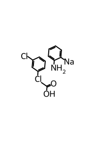 CC(=O)O.Clc1cccc(Cl)c1.Nc1cccc[c]1[Na]